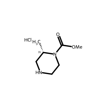 COC(=O)N1CCNC[C@@H]1C.Cl